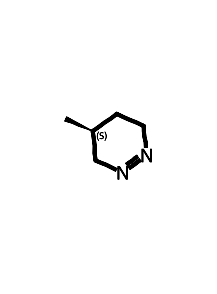 C[C@H]1CCN=NC1